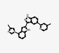 Cc1ccnc(-c2ccc3[nH]nc(-c4cc5c(-n6cnc(C)c6)cccc5[nH]4)c3c2)c1